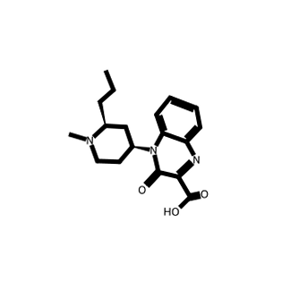 CCC[C@H]1C[C@@H](n2c(=O)c(C(=O)O)nc3ccccc32)CCN1C